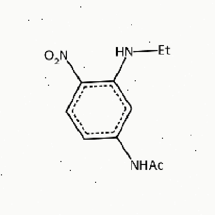 CCNc1cc(NC(C)=O)ccc1[N+](=O)[O-]